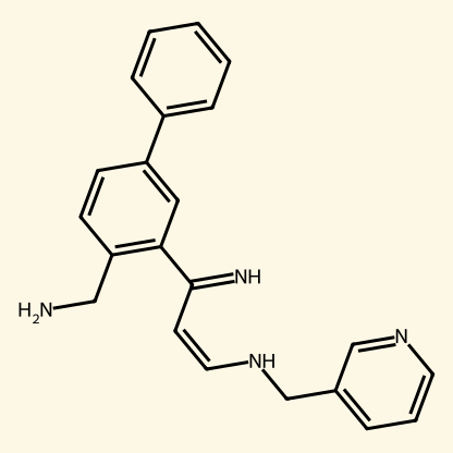 N=C(/C=C\NCc1cccnc1)c1cc(-c2ccccc2)ccc1CN